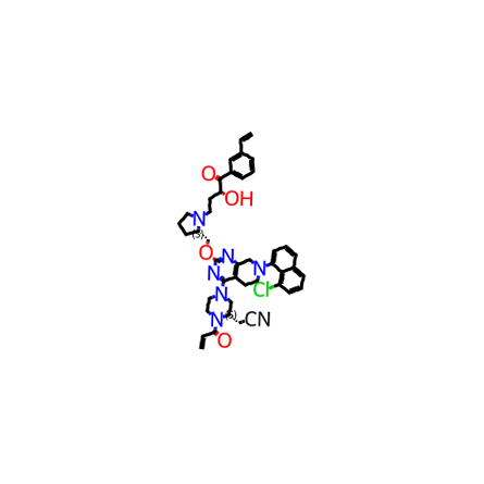 C=CC(=O)N1CCN(c2nc(OC[C@@H]3CCCN3CCC(O)C(=O)c3cccc(C=C)c3)nc3c2CCN(c2cccc4cccc(Cl)c24)C3)C[C@@H]1CC#N